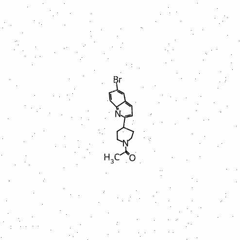 CC(=O)N1CCC(c2ccc3cc(Br)ccc3n2)CC1